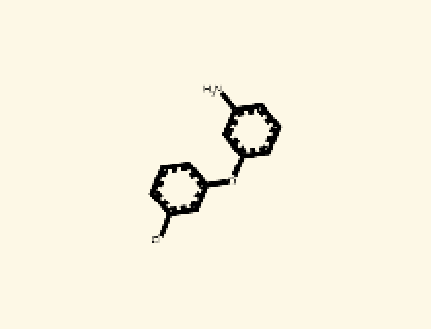 Nc1cccc(Oc2cccc(Cl)c2)c1